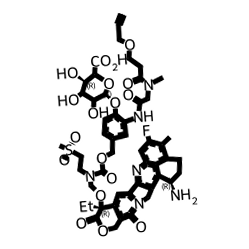 C#CCOCCC(=O)N(C)CC(=O)Nc1cc(COC(=O)N(CCS(C)(=O)=O)CO[C@@]2(CC)C(=O)OCc3c2cc2n(c3=O)Cc3c-2nc2cc(F)c(C)c4c2c3[C@H](N)CC4)ccc1O[C@@H]1OC(C(=O)O)[C@H](O)C(O)C1O